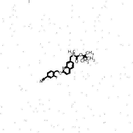 CN(Cc1ccc2ccc(OCc3ccc(C#N)cc3F)nc2c1)C(=O)OC(C)(C)C